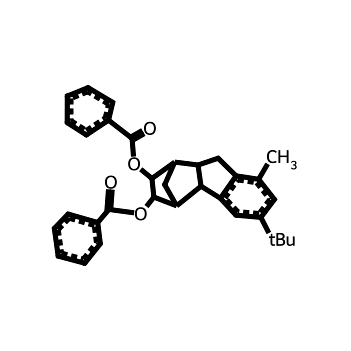 Cc1cc(C(C)(C)C)cc2c1CC1C3CC(C(OC(=O)c4ccccc4)C3OC(=O)c3ccccc3)C21